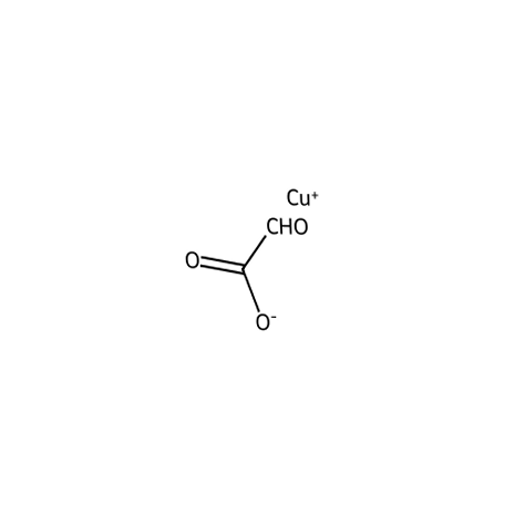 O=CC(=O)[O-].[Cu+]